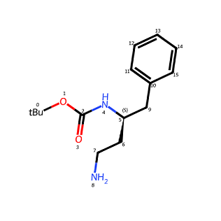 CC(C)(C)OC(=O)N[C@H](CCN)Cc1ccccc1